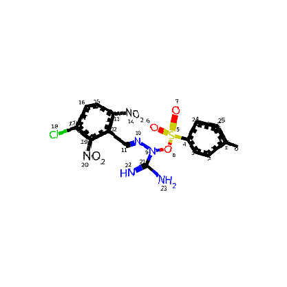 Cc1ccc(S(=O)(=O)ON(N=Cc2c([N+](=O)[O-])ccc(Cl)c2[N+](=O)[O-])C(=N)N)cc1